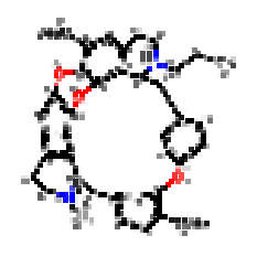 COc1ccc2cc1Oc1ccc(cc1)C[C@H]1c3c(cc(OC)c4c3Oc3cc5c(cc3O4)CCN(C)[C@H]5C2)CCN1CCC#N